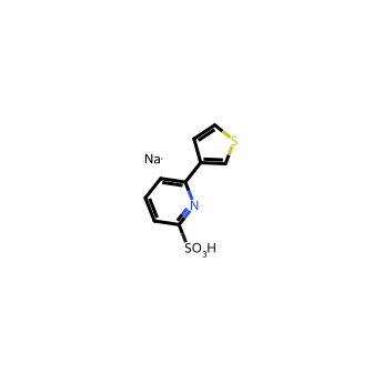 O=S(=O)(O)c1cccc(-c2ccsc2)n1.[Na]